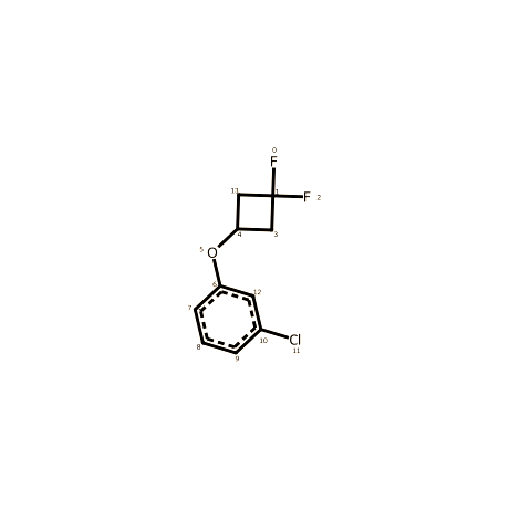 FC1(F)CC(Oc2[c]ccc(Cl)c2)C1